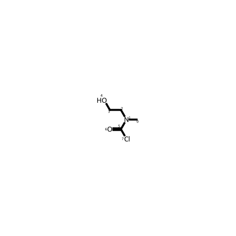 CN(CCO)C(=O)Cl